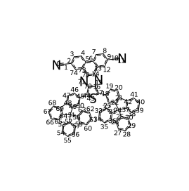 N#Cc1ccc2c3ccc(C#N)cc3c3nc4c(-c5ccc6c(c5)C(c5ccccc5)(c5ccccc5)c5ccccc5-6)sc(-c5ccc6c(c5)C(c5ccccc5)(c5ccccc5)c5ccccc5-6)c4nc3c2c1